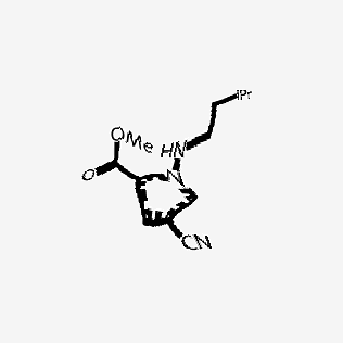 COC(=O)c1cc(C#N)cn1NCCC(C)C